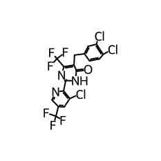 O=c1[nH]c(-c2ncc(C(F)(F)F)cc2Cl)nc(C(F)(F)F)c1Cc1ccc(Cl)c(Cl)c1